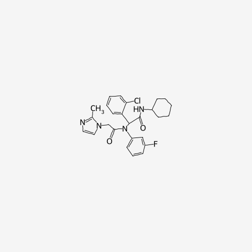 Cc1nccn1CC(=O)N(c1cccc(F)c1)C(C(=O)NC1CCCCC1)c1ccccc1Cl